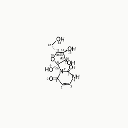 O=c1cc[nH]c(=O)n1[C@@]1(O)O[C@H](CO)[C@@H](O)[C@H]1O